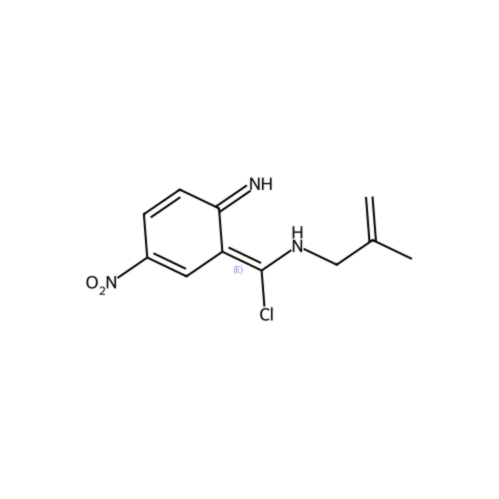 C=C(C)CN/C(Cl)=C1/C=C([N+](=O)[O-])C=CC1=N